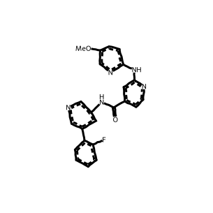 COc1ccc(Nc2cc(C(=O)Nc3cncc(-c4ccccc4F)c3)ccn2)nc1